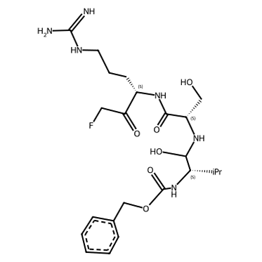 CC(C)[C@H](NC(=O)OCc1ccccc1)C(O)N[C@@H](CO)C(=O)N[C@@H](CCCNC(=N)N)C(=O)CF